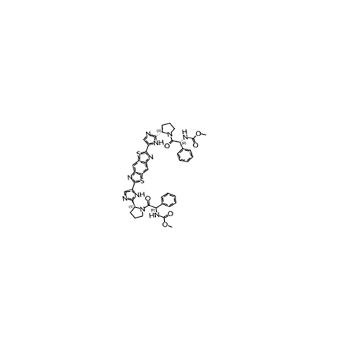 COC(=O)N[C@@H](C(=O)N1CCC[C@H]1c1ncc(-c2nc3cc4sc(-c5cnc([C@@H]6CCCN6C(=O)[C@H](NC(=O)OC)c6ccccc6)[nH]5)nc4cc3s2)[nH]1)c1ccccc1